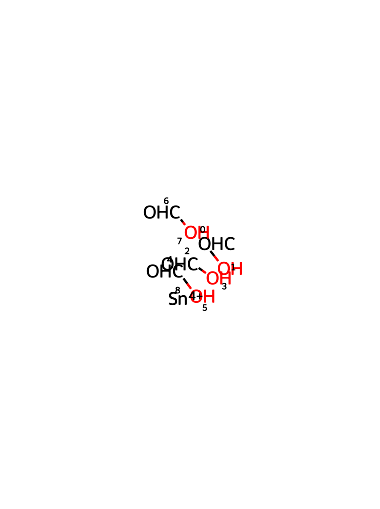 O=[C-]O.O=[C-]O.O=[C-]O.O=[C-]O.[Sn+4]